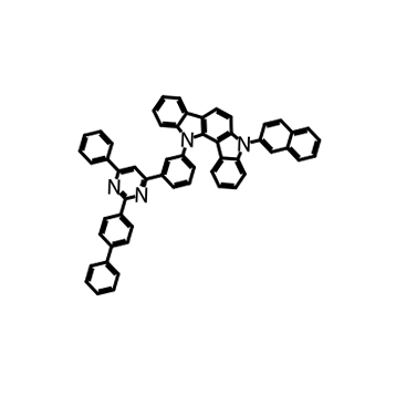 c1ccc(-c2ccc(-c3nc(-c4ccccc4)cc(-c4cccc(-n5c6ccccc6c6ccc7c(c8ccccc8n7-c7ccc8ccccc8c7)c65)c4)n3)cc2)cc1